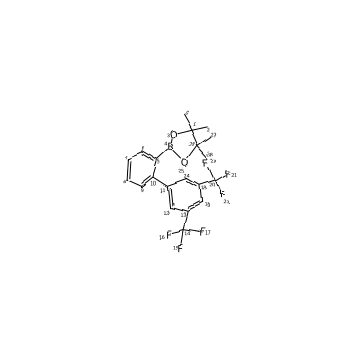 CC1(C)OB(c2ccccc2-c2cc(C(F)(F)F)cc(C(F)(F)F)c2)OC1(C)C